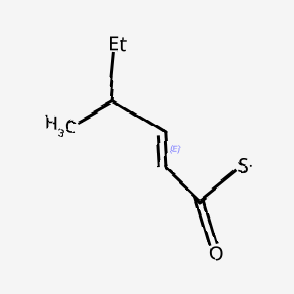 CCC(C)/C=C/C(=O)[S]